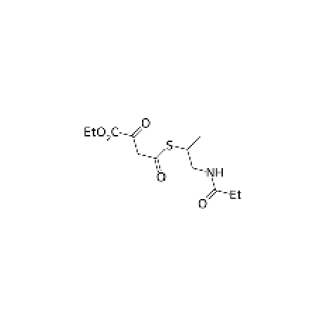 CCOC(=O)C(=O)CC(=O)SC(C)CNC(=O)CC